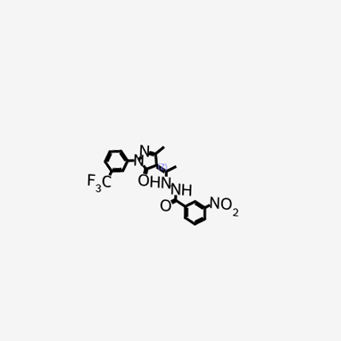 CC1=NN(c2cccc(C(F)(F)F)c2)C(=O)/C1=C(/C)NNC(=O)c1cccc([N+](=O)[O-])c1